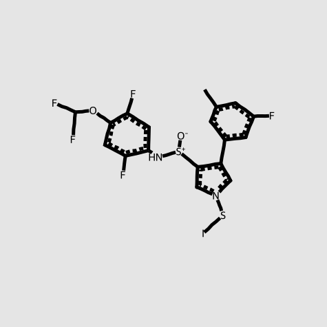 Cc1cc(F)cc(-c2cn(SI)cc2[S+]([O-])Nc2cc(F)c(OC(F)F)cc2F)c1